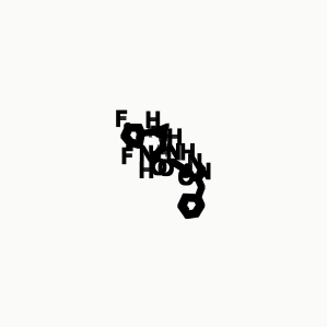 O=C(N[C@H]1C(=O)Nc2c(F)cc(F)cc2[C@H]2C[C@H]21)c1nnc(Cc2ccccc2)o1